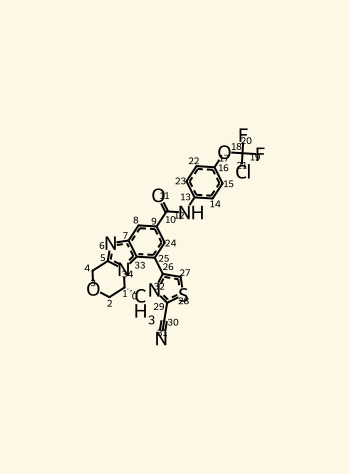 C[C@@H]1COCc2nc3cc(C(=O)Nc4ccc(OC(F)(F)Cl)cc4)cc(-c4csc(C#N)n4)c3n21